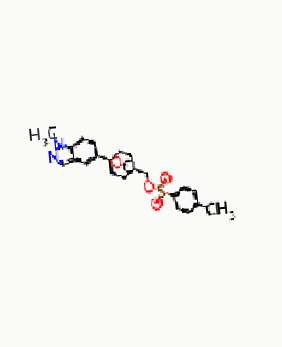 Cc1ccc(S(=O)(=O)OCC23CCC(c4ccc5c(cnn5C)c4)(CC2)OC3)cc1